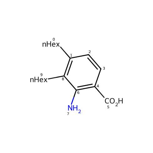 CCCCCCc1ccc(C(=O)O)c(N)c1CCCCCC